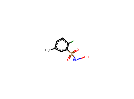 Cc1ccc(F)c(S(=O)(=O)NO)c1